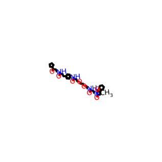 CC1(C2CCCCC2)CC(=O)N(CCC(=O)NCCOCCOCCC(=O)Nc2ccc(CCC(=O)NCCC(=O)C3CCCC3)cc2)C1=O